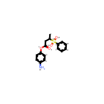 CC(CC(=O)Oc1ccc(N)cc1)S(=O)(=O)c1ccccc1